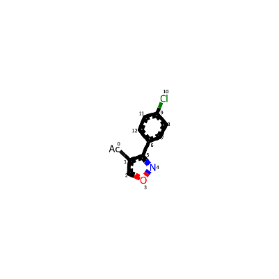 CC(=O)c1conc1-c1ccc(Cl)cc1